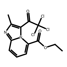 CCOC(=O)c1cccc2nc(C)c(C(=O)C(Cl)(Cl)Cl)n12